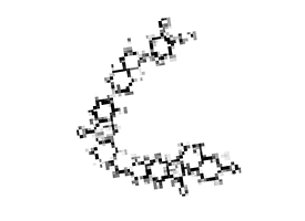 C[C@H]1CC2(CCN(c3ccc(C(=O)N4CCC(CN5Cc6cc7c(cc6C5)C(=O)N(C5CCC(=O)NC5=O)C7=O)CC4)c(F)c3)CC2)CN1c1ccc(C#N)c(Cl)c1